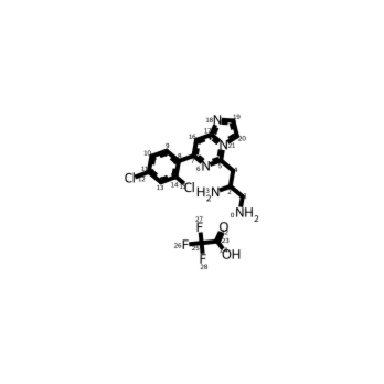 NCC(N)Cc1nc(-c2ccc(Cl)cc2Cl)cc2nccn12.O=C(O)C(F)(F)F